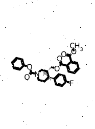 COC(=O)c1ccccc1C(=O)OC[C@H]1CN(C(=O)Oc2ccccc2)CC[C@@H]1c1ccc(F)cc1